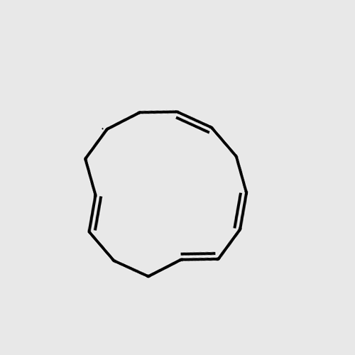 [CH]1C/C=C\C/C=C\C=C\CC/C=C/C1